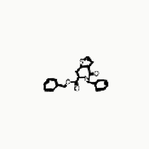 O=C(OCc1ccccc1)C1Cc2sccc2C(=O)N1Cc1ccccc1